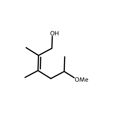 COC(C)CC(C)=C(C)CO